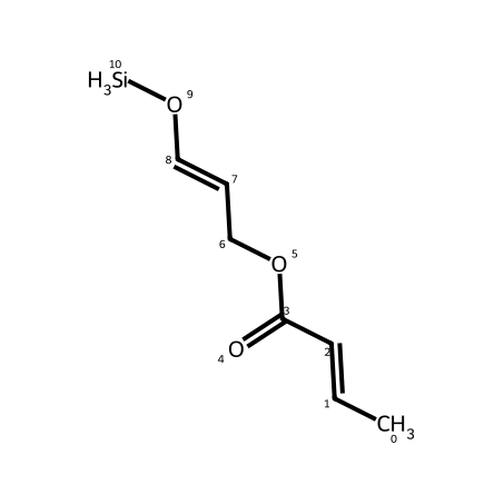 CC=CC(=O)OCC=CO[SiH3]